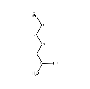 CC(C)CCCCC(O)I